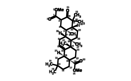 COC(=O)C1C[C@]2(C)[C@H]3CC=C4[C@@H]5CC(C)(C)CC[C@]5(C(=O)OC)CC[C@@]4(C)[C@]3(C)CC[C@H]2C(C)(C)C1=O